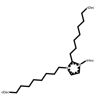 CCCCCCCCCCCCCCCCCC[n+]1ccn(CCCCCC)c1CCCCCCCCCCCCCCCCC